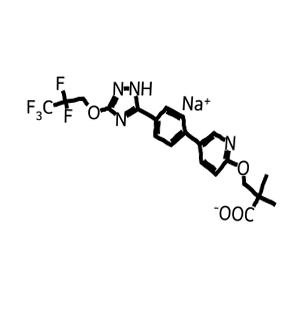 CC(C)(COc1ccc(-c2ccc(-c3nc(OCC(F)(F)C(F)(F)F)n[nH]3)cc2)cn1)C(=O)[O-].[Na+]